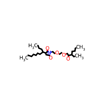 CCCCCCCC(CCCC)C1CC(=O)N(CCOCCOCC(=O)C(CC)CCCC)C1=O